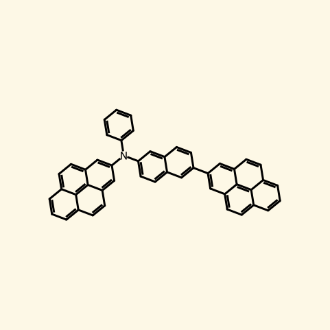 c1ccc(N(c2ccc3cc(-c4cc5ccc6cccc7ccc(c4)c5c67)ccc3c2)c2cc3ccc4cccc5ccc(c2)c3c45)cc1